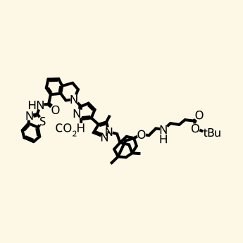 Cc1c(-c2ccc(N3CCc4cccc(C(=O)Nc5nc6ccccc6s5)c4C3)nc2C(=O)O)cnn1CC12CC3(C)CC(C)(C1)CC(OCCNCCCC(=O)OC(C)(C)C)(C3)C2